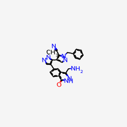 Cn1ncc(-c2ccc3c(=O)[nH]nc(CN)c3c2)c1-c1cnn(Cc2ccccc2)c1C#N